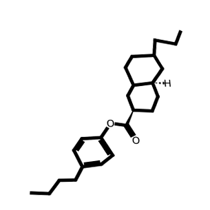 CCCCc1ccc(OC(=O)[C@@H]2CC[C@@H]3CC(CCC)CCC3C2)cc1